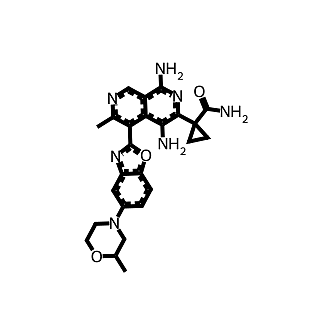 Cc1ncc2c(N)nc(C3(C(N)=O)CC3)c(N)c2c1-c1nc2cc(N3CCOC(C)C3)ccc2o1